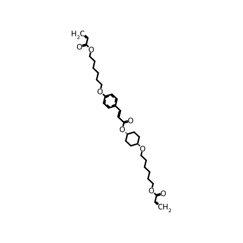 C=CC(=O)OCCCCCCOc1ccc(/C=C/C(=O)O[C@H]2CC[C@H](OCCCCCCOC(=O)C=C)CC2)cc1